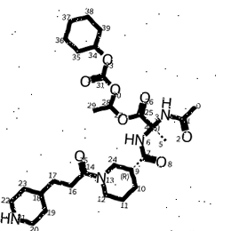 CC(=O)N[C@@](C)(NC(=O)[C@@H]1CCCN(C(=O)CCC2CCNCC2)C1)C(=O)OC(C)OC(=O)OC1CCCCC1